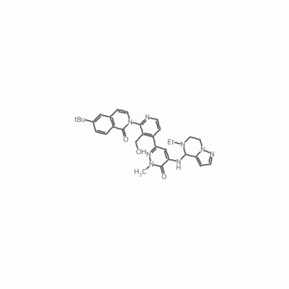 CCN1CCn2nccc2C1Nc1cc(-c2ccnc(-n3ccc4cc(C(C)(C)C)ccc4c3=O)c2CO)nn(C)c1=O